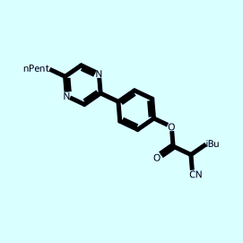 CCCCCc1cnc(-c2ccc(OC(=O)C(C#N)C(C)CC)cc2)cn1